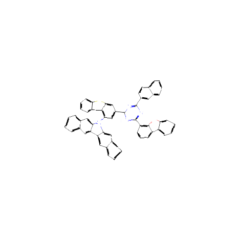 c1ccc2cc(C3=NC(c4cc(-n5c6cc7ccccc7cc6c6cc7ccccc7cc65)c5c(c4)sc4ccccc45)NC(c4cccc5c4oc4ccccc45)=N3)ccc2c1